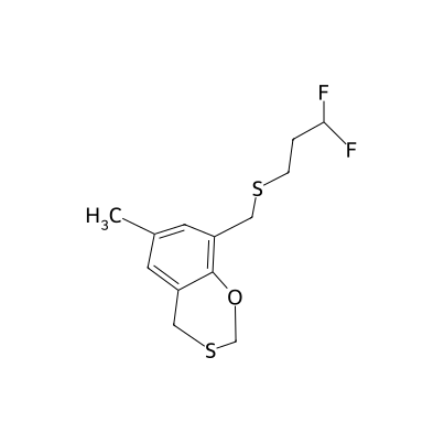 Cc1cc(CSCCC(F)F)c2c(c1)CSCO2